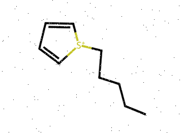 CCCCC[s+]1cccc1